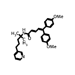 COc1ccc(C(=C/C=C/C(=O)NC(C)(C)CCCc2cccnc2)c2ccc(OC)cc2)cc1